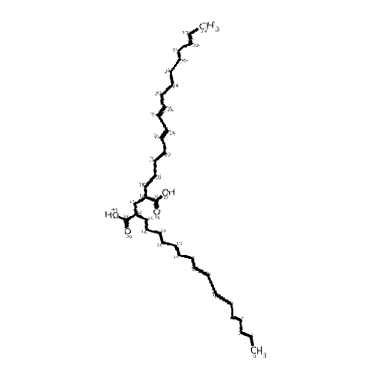 CCCCCCCCCCCCCCCCC(CC(CCCCCCCCCCCCCCCC)C(=O)O)C(=O)O